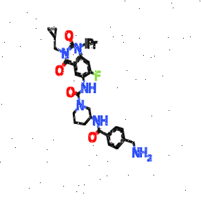 CC(C)n1c(=O)n(CC2CC2)c(=O)c2cc(NC(=O)N3CCCC(NC(=O)c4ccc(CN)cc4)C3)c(F)cc21